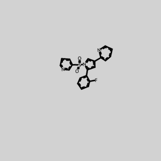 O=S(=O)(c1cccnc1)n1cc(-c2ccccn2)cc1-c1ccccc1F